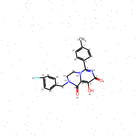 Cc1ccc(-c2nc(=O)c(O)c3n2CCN(Cc2ccc(F)cc2)C3=O)cc1